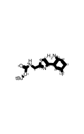 CC(C)(C)OC(=O)NCc1nc(-c2cc(F)ccc2N)cs1